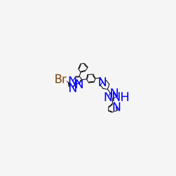 Brc1cnc2nc(-c3ccc(CN4CCC(c5n[nH]c(-c6ccccn6)n5)CC4)cc3)c(-c3ccccc3)cn12